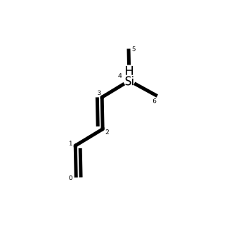 C=CC=C[SiH](C)C